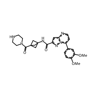 COc1ccc(-c2ccnc3cc(C(=O)NC45CC(C(=O)N6CCNCC6)(C4)C5)nn23)cc1OC